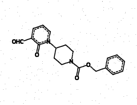 O=Cc1cccn(C2CCN(C(=O)OCc3ccccc3)CC2)c1=O